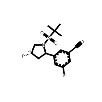 CC(C)(C)S(=O)(=O)N1C[C@@H](F)CC1c1cc(F)cc(C#N)c1